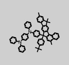 Cc1ccc2c(c1)C(C)(C)c1cc3c(cc1-2)C(c1ccc(N(c2ccccc2)c2ccc(N(c4ccccc4)c4ccccc4)cc2)cc1)(c1ccc(C(C)(C)C)cc1)c1cc(C)c2ccccc2c1-3